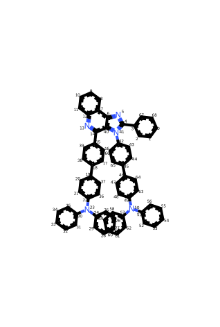 c1ccc(-c2nc3c4ccccc4nc(-c4ccc(-c5ccc(N(c6ccccc6)c6ccccc6)cc5)cc4)c3n2-c2ccc(-c3ccc(N(c4ccccc4)c4ccccc4)cc3)cc2)cc1